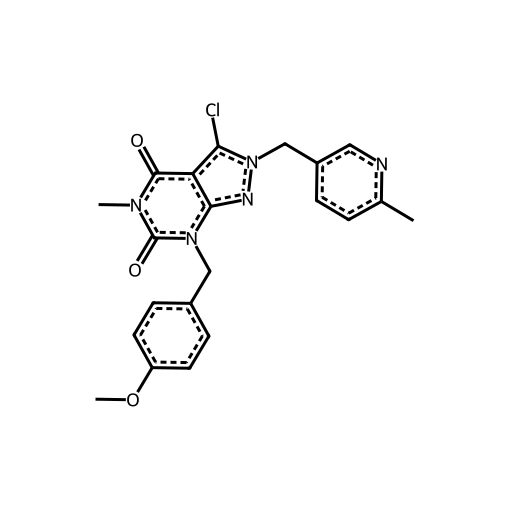 COc1ccc(Cn2c(=O)n(C)c(=O)c3c(Cl)n(Cc4ccc(C)nc4)nc32)cc1